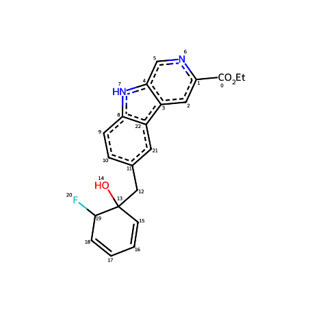 CCOC(=O)c1cc2c(cn1)[nH]c1ccc(CC3(O)C=CC=CC3F)cc12